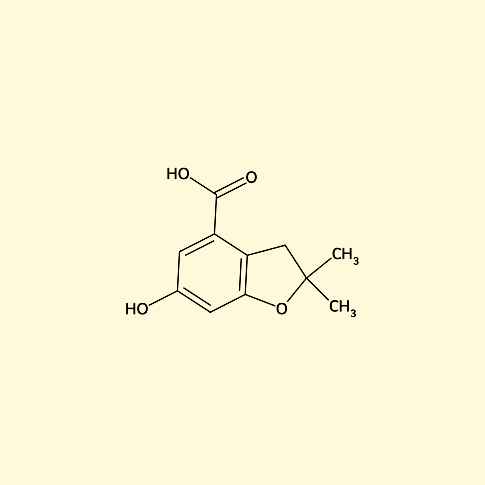 CC1(C)Cc2c(cc(O)cc2C(=O)O)O1